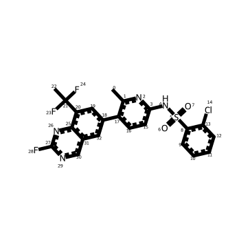 Cc1nc(NS(=O)(=O)c2ccccc2Cl)ccc1-c1cc(C(C)(F)F)c2nc(F)ncc2c1